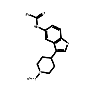 CCCCCN1CCC(c2csc3ccc(NC(=O)C(C)C)cc23)CC1